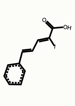 O=C(O)C(I)=CC=Cc1ccccc1